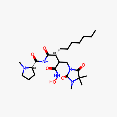 CCCCCCC[C@@H](C(=O)NC(=O)[C@@H]1CCCN1C)C(CN1C(=O)N(C)C(C)(C)C1=O)C(=O)NO